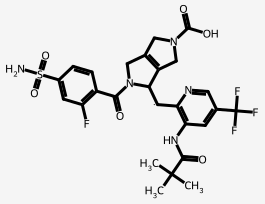 CC(C)(C)C(=O)Nc1cc(C(F)(F)F)cnc1[CH]C1C2=C(CN(C(=O)O)C2)CN1C(=O)c1ccc(S(N)(=O)=O)cc1F